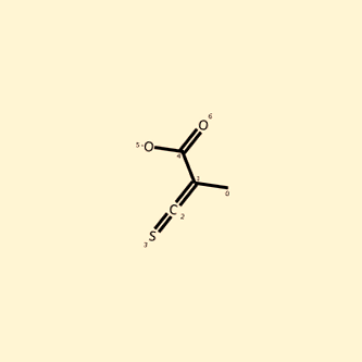 CC(=C=S)C([O])=O